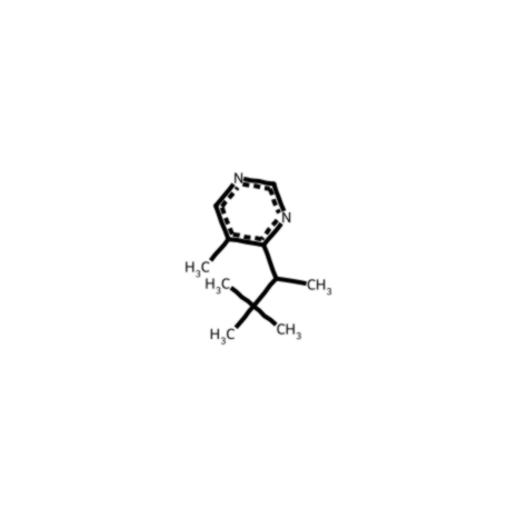 Cc1cncnc1C(C)C(C)(C)C